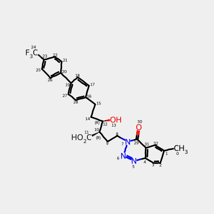 Cc1ccc2nnn(CC[C@@H](C(=O)O)[C@H](O)CCc3ccc(-c4ccc(C(F)(F)F)cc4)cc3)c(=O)c2c1